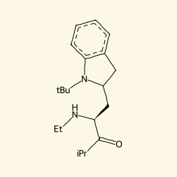 CCN[C@@H](CC1Cc2ccccc2N1C(C)(C)C)C(=O)C(C)C